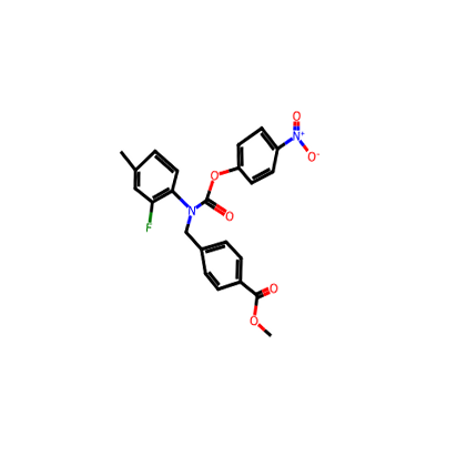 COC(=O)c1ccc(CN(C(=O)Oc2ccc([N+](=O)[O-])cc2)c2ccc(C)cc2F)cc1